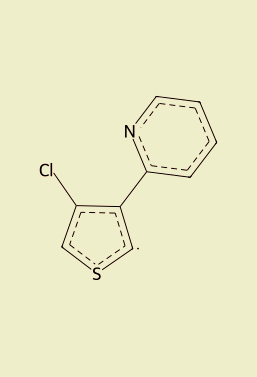 Clc1cs[c]c1-c1ccccn1